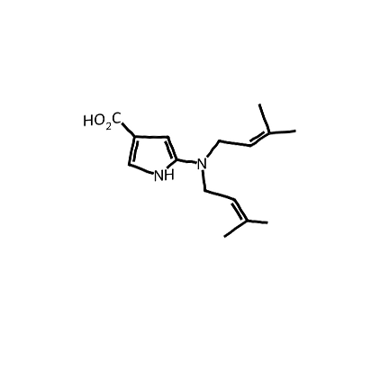 CC(C)=CCN(CC=C(C)C)c1cc(C(=O)O)c[nH]1